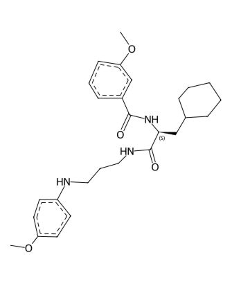 COc1ccc(NCCCNC(=O)[C@H](CC2CCCCC2)NC(=O)c2cccc(OC)c2)cc1